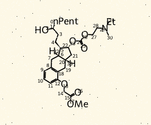 CCCCC[C@H](O)CC[C@@H]1[C@H]2Cc3cccc(OCC(=O)OC)c3C[C@H]2C[C@H]1OC(=O)OCCN(C)CC